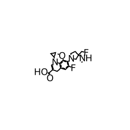 CNC1(CF)CCN(c2c(F)cc3c(c2OC)N(C2CC2)C=C(C(=O)O)C3)C1